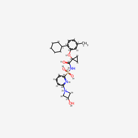 Cc1ccc(C2CCCCC2)c(OC2(C(=O)NS(=O)(=O)c3cccc(N4CC(O)C4)n3)CC2)c1